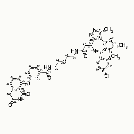 Cc1sc2c(c1C)C(c1ccc(Cl)cc1)=N[C@@H](CC(=O)NCCOCCNC(=O)c1cccc(Oc3cccc4c3C(=O)NC(=O)C4)c1)c1nnc(C)n1-2